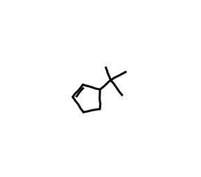 CC(C)(C)C1C=CCC1